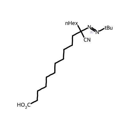 CCCCCCC(C#N)(CCCCCCCCCCC(=O)O)/N=N/C(C)(C)C